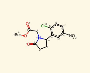 CC(C)(C)OC(=O)CN1C(=O)CCC1c1cc([N+](=O)[O-])ccc1Cl